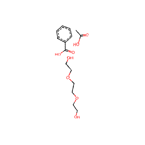 CC(=O)O.O=C(O)c1ccccc1.OCCOCCOCCO